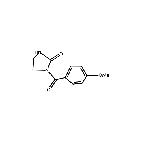 COc1ccc(C(=O)N2CCNC2=O)cc1